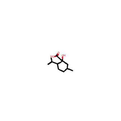 CC1CCC(C(C)C)C(O)(C(=O)O)C1